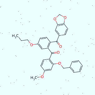 CCCOc1ccc(C(=O)c2ccc3c(c2)OCO3)c(C(=O)c2ccc(OC)cc2OCc2ccccc2)c1